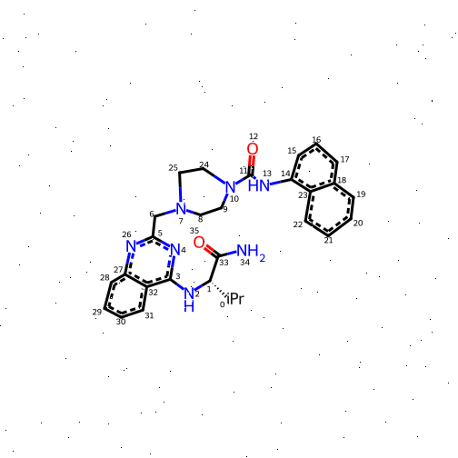 CC(C)[C@H](Nc1nc(CN2CCN(C(=O)Nc3cccc4ccccc34)CC2)nc2ccccc12)C(N)=O